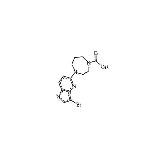 O=C(O)N1CCCN(c2ccc3ncc(Br)n3n2)CC1